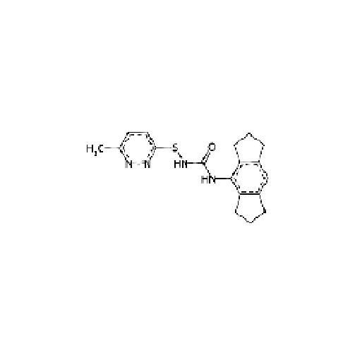 Cc1ccc(SNC(=O)Nc2c3c(cc4c2CCC4)CCC3)nn1